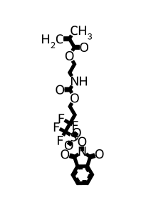 C=C(C)C(=O)OCCNC(=O)OCCC(F)(F)C(F)(F)S(=O)(=O)ON1C(=O)c2ccccc2C1=O